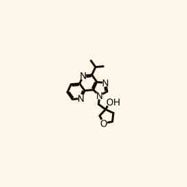 CC(C)c1nc2cccnc2c2c1ncn2CC1(O)CCOC1